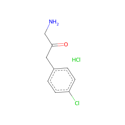 Cl.NCC(=O)Cc1ccc(Cl)cc1